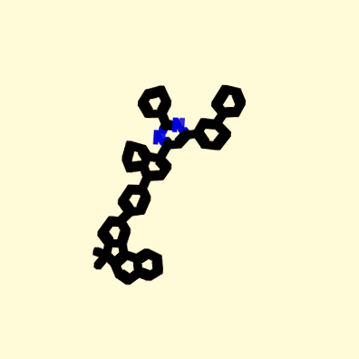 CC1(C)c2ccc(-c3ccc(-c4ccc(-c5cc(-c6cccc(-c7ccccc7)c6)nc(-c6ccccc6)n5)c5ccccc45)cc3)cc2-c2c1ccc1ccccc21